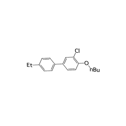 CCCCOc1ccc(-c2ccc(CC)cc2)cc1Cl